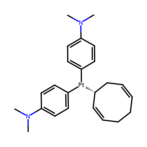 CN(C)c1cc[c]([Pt]([c]2ccc(N(C)C)cc2)[C@H]2C=CCCC=CC2)cc1